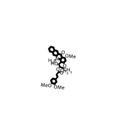 COc1ccc(C=CC(=O)O[C@H]2[C@@H](O)c3c(cc(OC)c4c(=O)c5cc6ccccc6cc5n(C)c34)OC2(C)C)cc1OC